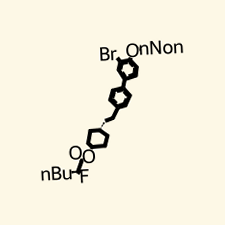 CCCCCCCCCOc1ccc(-c2ccc(CC[C@H]3CC[C@H](OC(=O)[C@@H](F)CCCC)CC3)cc2)cc1Br